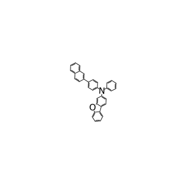 c1ccc(N(c2ccc(-c3ccc4ccccc4c3)cc2)c2ccc3c(c2)oc2ccccc23)cc1